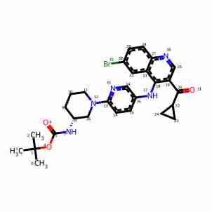 CC(C)(C)OC(=O)N[C@@H]1CCCN(c2ccc(Nc3c(C(=O)C4CC4)cnc4ccc(Br)cc34)cn2)C1